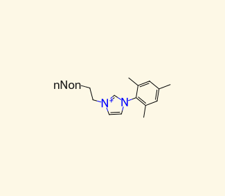 CCCCCCCCCCC[n+]1ccn(-c2c(C)cc(C)cc2C)c1